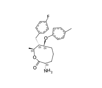 Cc1ccc(O[C@H]2CCC[C@H](N)C(=O)O[C@@H](C)[C@@H]2Cc2ccc(F)cc2)cc1